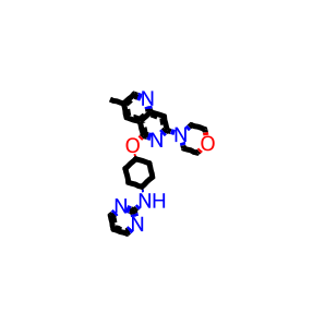 Cc1cnc2cc(N3CCOCC3)nc(O[C@H]3CC[C@@H](Nc4ncccn4)CC3)c2c1